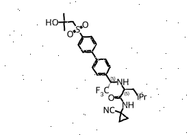 CC(C)C[C@H](N[C@@H](c1ccc(-c2ccc(S(=O)(=O)CC(C)(C)O)cc2)cc1)C(F)(F)F)C(=O)NC1(C#N)CC1